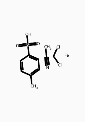 CC#N.Cc1ccc(S(=O)(=O)O)cc1.ClCCl.[Fe]